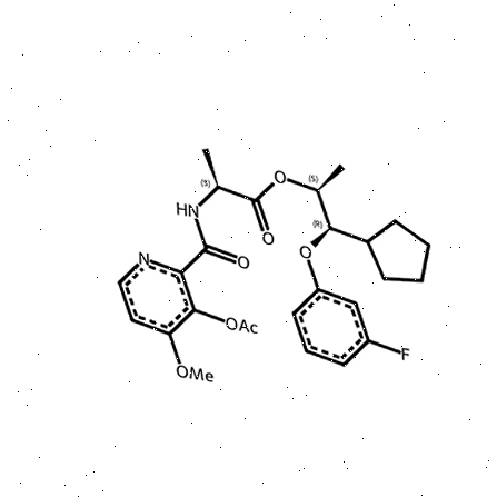 COc1ccnc(C(=O)N[C@@H](C)C(=O)O[C@@H](C)[C@H](Oc2cccc(F)c2)C2CCCC2)c1OC(C)=O